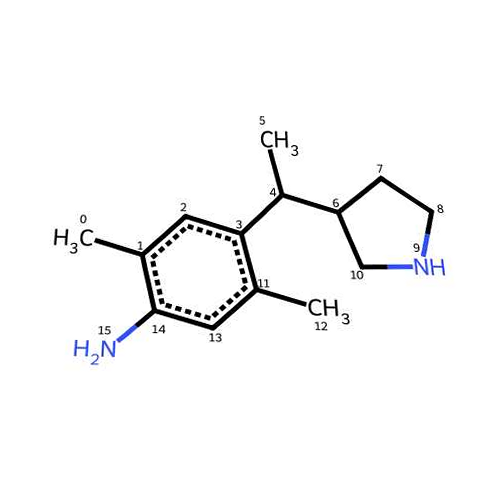 Cc1cc(C(C)C2CCNC2)c(C)cc1N